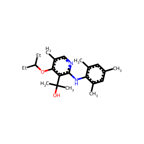 CCC(CC)Oc1c(C)cnc(Nc2c(C)cc(C)cc2C)c1C(C)(C)O